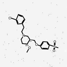 CO[C@@H]1CCN(CCc2cccc(Cl)c2)C[C@H]1COc1ccc(S(C)(=O)=O)cc1